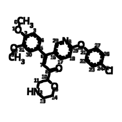 COc1ccc(C(=CC(=O)C2CNCCO2)c2ccc(Oc3ccc(Cl)cc3)nc2)cc1OC